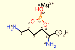 NCCCCC(N)C(=O)O.[Mg+2].[O-]P([O-])O